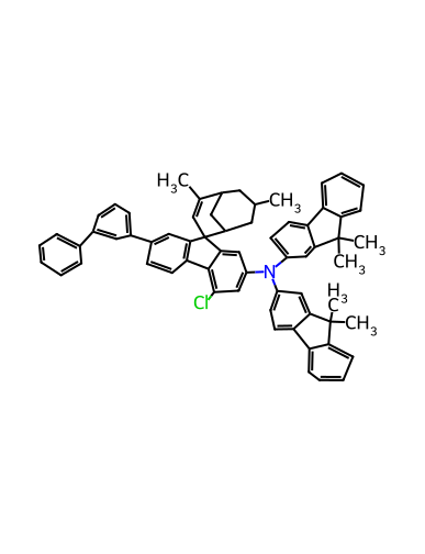 CC1=CC2(c3cc(-c4cccc(-c5ccccc5)c4)ccc3-c3c(Cl)cc(N(c4ccc5c(c4)C(C)(C)c4ccccc4-5)c4ccc5c(c4)C(C)(C)c4ccccc4-5)cc32)C2CC(C)CC1C2